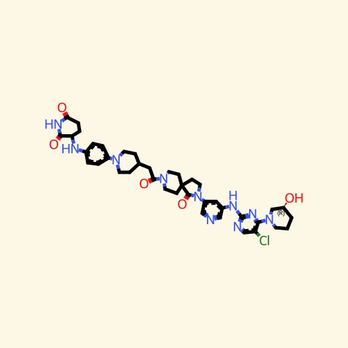 O=C1CCC(Nc2ccc(N3CCC(CC(=O)N4CCC5(CC4)CCN(c4cncc(Nc6ncc(Cl)c(N7CCC[C@@H](O)C7)n6)c4)C5=O)CC3)cc2)C(=O)N1